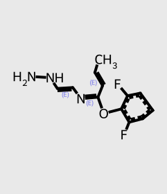 C/C=C/C(=N\C=C\NN)Oc1c(F)cccc1F